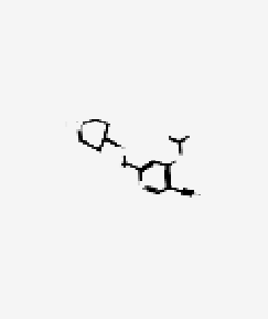 N#Cc1cnc(C(=O)NC2CCNCC2)cc1OC(F)F